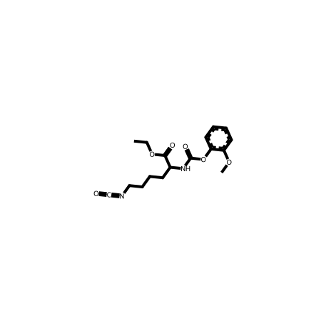 CCOC(=O)C(CCCCN=C=O)NC(=O)Oc1ccccc1OC